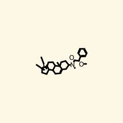 COC(C(=O)N(C)C1CCC2(C)C(=CCC3C2CCC24CN(C)C(C)C2CCC34)C1)c1ccccc1